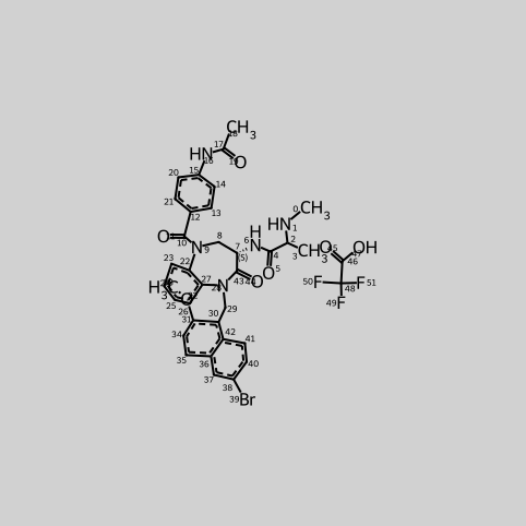 CNC(C)C(=O)N[C@H]1CN(C(=O)c2ccc(NC(C)=O)cc2)c2ccccc2N(Cc2c(OC)ccc3cc(Br)ccc23)C1=O.O=C(O)C(F)(F)F